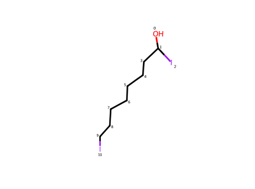 OC(I)CCCCCCCI